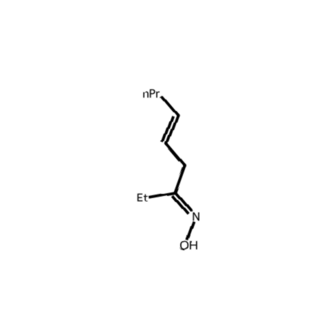 CCC/C=C/C/C(CC)=N/O